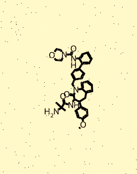 COc1ccc(C2Cc3ccccc3N(Cc3ccc(-c4ccccc4NC(=O)N4CCOCC4)cc3)C(=O)C2NC(=O)C(C)(C)N)cc1